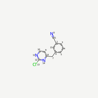 N#Cc1cccc(Cc2ccnc(Cl)n2)c1